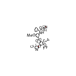 COc1cc(NC(C(=O)O[C@H]2CN3CCC2CC3)c2ccccc2)cc(C(=O)O[C@@H](Cc2c(Cl)cncc2Cl)c2ccc(OC(F)F)c(OCC3CC3)c2)c1